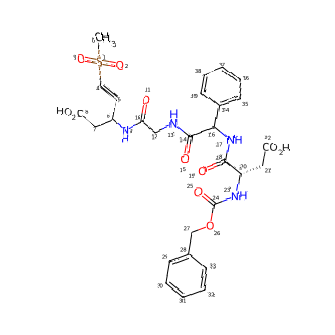 CS(=O)(=O)/C=C/C(CC(=O)O)NC(=O)CNC(=O)C(NC(=O)[C@H](CC(=O)O)NC(=O)OCc1ccccc1)c1ccccc1